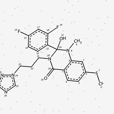 CSc1ccc2c(c1)N(C)C(O)(c1ccc(F)cc1F)N(CCCn1cncn1)C2=O